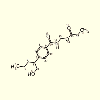 CCCC(CO)c1ccc(C(=O)NCOC(=O)CC)cc1